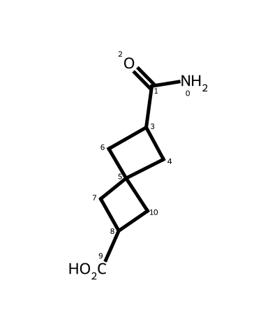 NC(=O)C1CC2(C1)CC(C(=O)O)C2